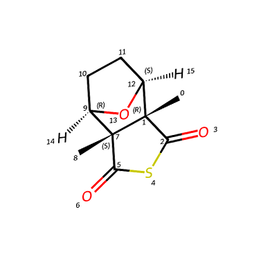 C[C@@]12C(=O)SC(=O)[C@]1(C)[C@H]1CC[C@@H]2O1